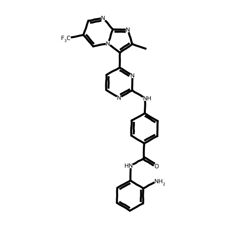 Cc1nc2ncc(C(F)(F)F)cn2c1-c1ccnc(Nc2ccc(C(=O)Nc3ccccc3N)cc2)n1